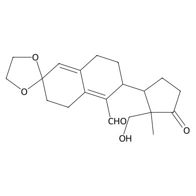 CC1(CO)C(=O)CCC1C1CCC2=CC3(CCC2=C1C=O)OCCO3